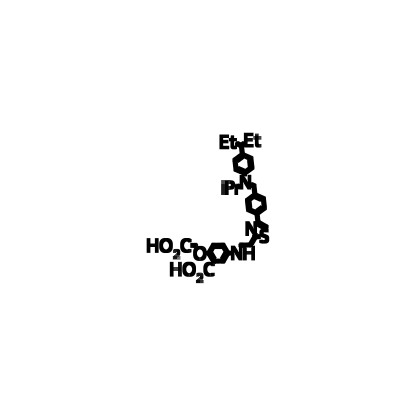 CCC(CC)c1ccc(N(Cc2ccc(-c3csc(CCNc4ccc(OCC(=O)O)c(C(=O)O)c4)n3)cc2)C(C)C)cc1